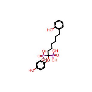 O=P(O)(O)C(CCCCCCc1ccccc1O)(Oc1ccc(O)cc1)P(=O)(O)O